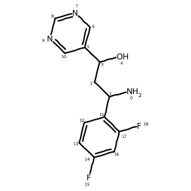 NC(CC(O)c1cncnc1)c1ccc(F)cc1F